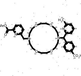 COC(=O)c1cccc(CN2CCOCCOCCN(C(c3ccc(C(=O)O)cc3)c3cccc(C)n3)CCOCCOCC2)n1